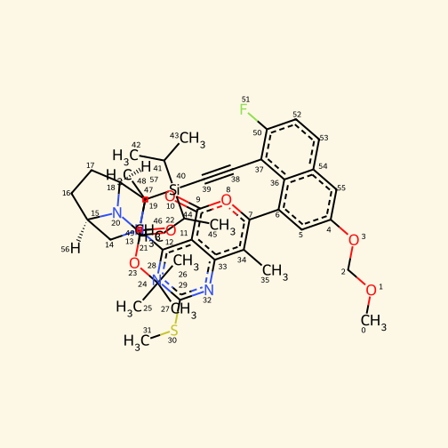 COCOc1cc(-c2oc(=O)c3c(N4C[C@H]5CC[C@@H](C4)N5C(=O)OC(C)(C)C)nc(SC)nc3c2C)c2c(C#C[Si](C(C)C)(C(C)C)C(C)C)c(F)ccc2c1